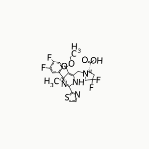 CCOC(=O)C1=C(CN2CC(F)(F)C[C@H]2C(=O)O)NC(c2nccs2)=N[C@@]1(C)c1ccc(F)c(F)c1